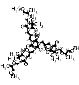 COCC(C)OCN1C(=O)N(CC(O)Cn2c(=O)n(CC(O)CN3C(=O)N(COC(C)COC)C(C)(C)C3=O)c(=O)n(CC(O)CN3C(=O)N(COC(C)COC)C(C)(C)C3=O)c2=O)C(=O)C1(C)C